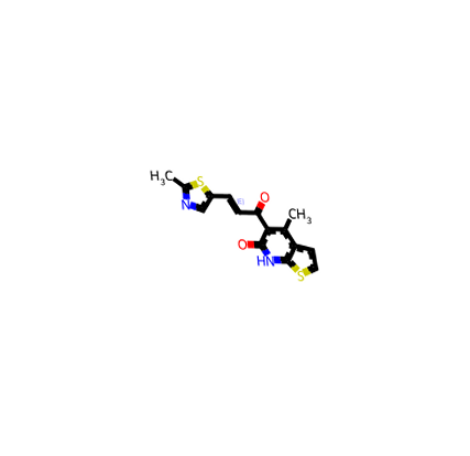 Cc1ncc(/C=C/C(=O)c2c(C)c3ccsc3[nH]c2=O)s1